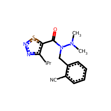 CC(C)c1nnsc1C(=O)N(Cc1ccccc1C#N)N(C)C